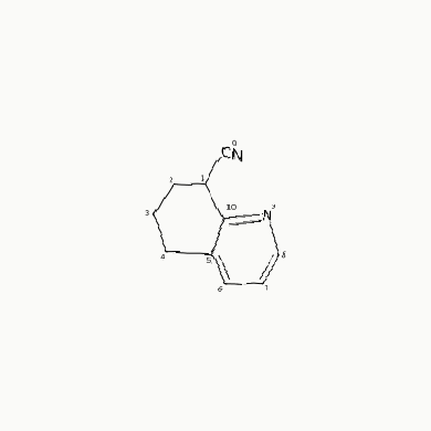 N#CC1CCCc2cccnc21